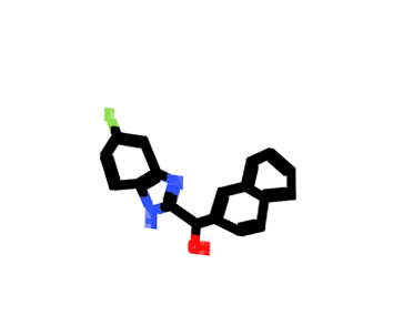 OC(c1ccc2ccccc2c1)c1nc2cc(F)ccc2[nH]1